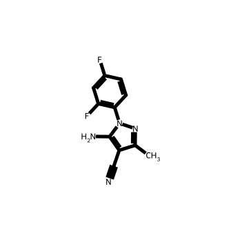 Cc1nn(-c2ccc(F)cc2F)c(N)c1C#N